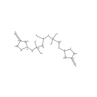 CC(CC(C)(C)OCC1COC(=O)O1)OC(C)(C)CC1COC(=O)O1